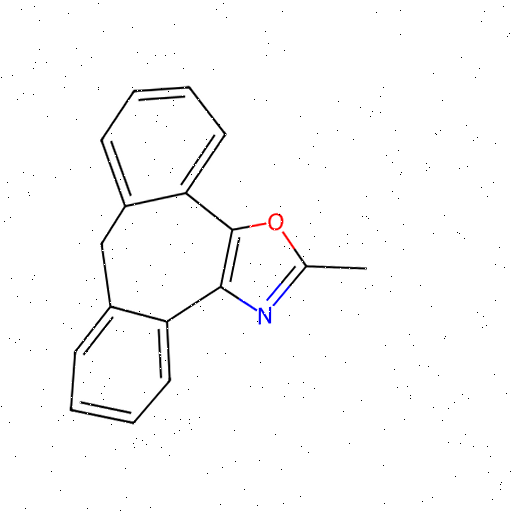 Cc1nc2c(o1)-c1ccccc1Cc1ccccc1-2